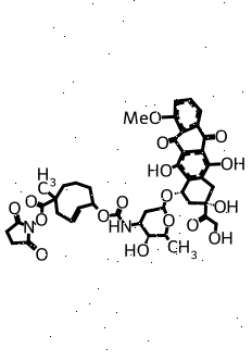 COc1cccc2c1C(=O)c1c(O)c3c(c(O)c1C2=O)C[C@@](O)(C(=O)CO)C[C@@H]3OC1CC(NC(=O)OC2/C=C/CC(C)(C(=O)ON3C(=O)CCC3=O)CCC2)[C@H](O)C(C)O1